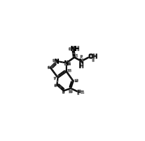 N=C(NO)n1ncc2ccc(F)cc21